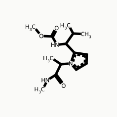 CNC(=O)C(C)n1cccc1C(NC(=O)OC)C(C)C